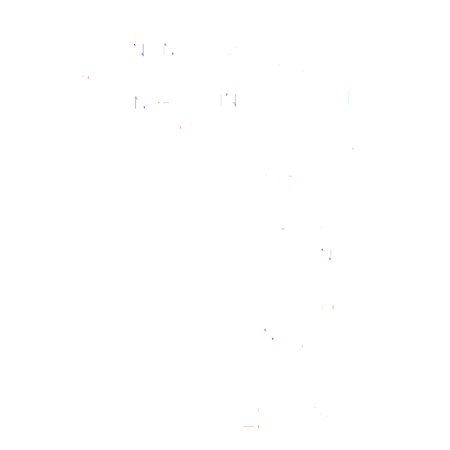 COc1nc(-c2cccc(-c3c(F)ccc(NC(=O)c4nn(C)c(=O)n(C)c4=O)c3C)c2Cl)cc2c1C(N1CC(C(=O)O)C1)CC2